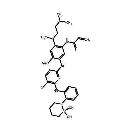 C=CC(=O)Nc1cc(Nc2ncc(Cl)c(Nc3ccccc3N3CCCCS3(O)O)n2)c(OC)cc1N(C)CCN(C)C